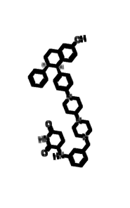 O=C1CCC(Nc2cccc(CN3CCN(C4CCN(c5ccc([C@@H]6c7ccc(O)cc7CC[C@@H]6c6ccccc6)cc5)CC4)CC3)c2)C(=O)N1